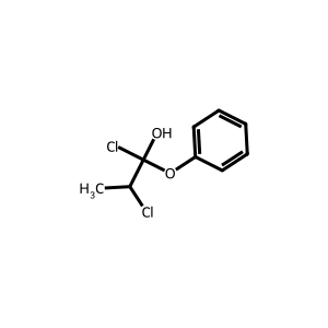 CC(Cl)C(O)(Cl)Oc1ccccc1